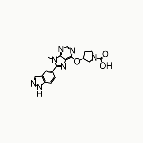 Cn1c(-c2ccc3[nH]ncc3c2)nc2c(O[C@H]3CCN(C(=O)O)C3)ncnc21